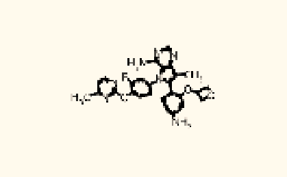 Cc1ccnc(Oc2ccc(-n3c(-c4ccc(N)cc4OC4COC4)c(C)c4ncnc(N)c43)cc2F)n1